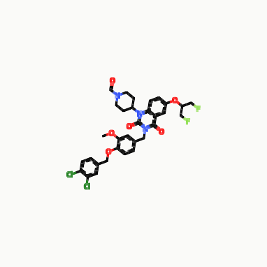 COc1cc(Cn2c(=O)c3cc(OC(CF)CF)ccc3n(C3CCN(C=O)CC3)c2=O)ccc1OCc1ccc(Cl)c(Cl)c1